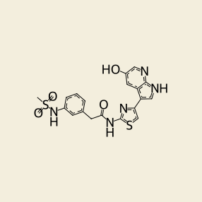 CS(=O)(=O)Nc1cccc(CC(=O)Nc2nc(-c3c[nH]c4ncc(O)cc34)cs2)c1